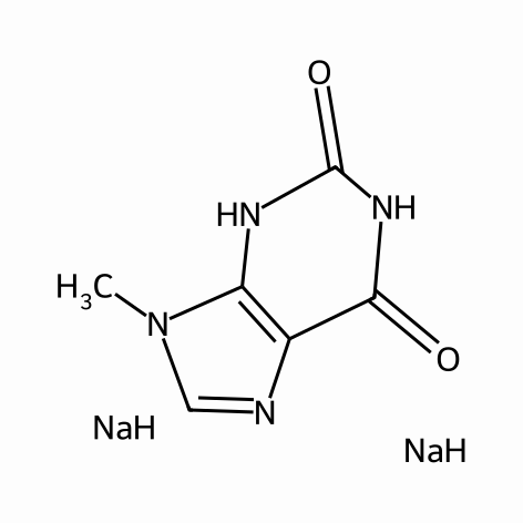 Cn1cnc2c(=O)[nH]c(=O)[nH]c21.[NaH].[NaH]